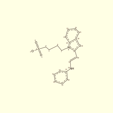 O=S(=O)([O-])CCCC[n+]1c(C=CNc2ccccc2)oc2ccccc21